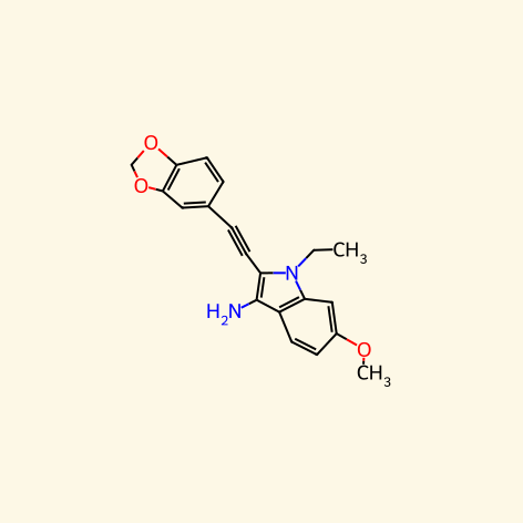 CCn1c(C#Cc2ccc3c(c2)OCO3)c(N)c2ccc(OC)cc21